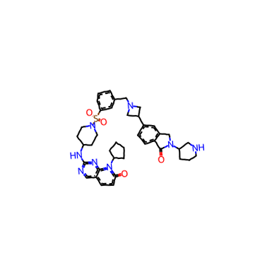 O=C1c2ccc(C3CN(Cc4cccc(S(=O)(=O)N5CCC(Nc6ncc7ccc(=O)n(C8CCCC8)c7n6)CC5)c4)C3)cc2CN1C1CCCNC1